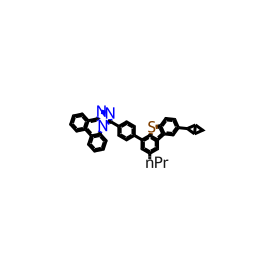 CCCc1cc(-c2ccc(-c3nnc4c5ccccc5c5ccccc5n34)cc2)c2sc3ccc(C4C5CC54)cc3c2c1